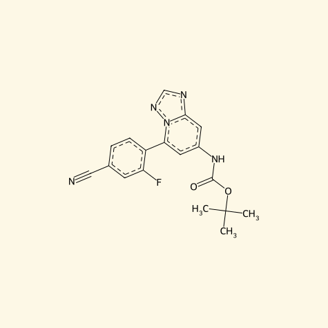 CC(C)(C)OC(=O)Nc1cc(-c2ccc(C#N)cc2F)n2ncnc2c1